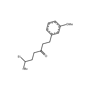 CCCCC(CC)CCC(=O)CCc1cccc(OC)c1